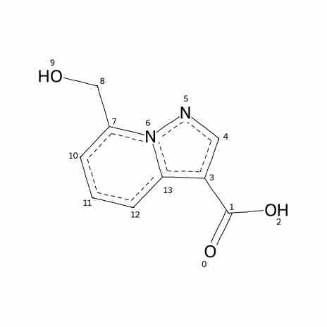 O=C(O)c1cnn2c(CO)cccc12